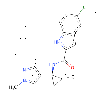 C[C@@H]1C[C@]1(NC(=O)c1cc2cc(Cl)ccc2[nH]1)c1cnn(C)c1